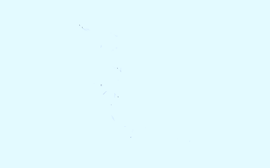 COCCOC(=O)[C@@H]1C=C[C@H](NC(=O)[C@@]2(C(F)(F)F)CC(c3cccc(C#N)c3F)=NO2)C1